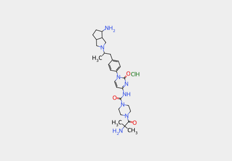 CC(Cc1ccc(-n2ccc(NC(=O)N3CCN(C(=O)C(C)(C)N)CC3)nc2=O)cc1)N1CC2CCC(N)C2C1.Cl